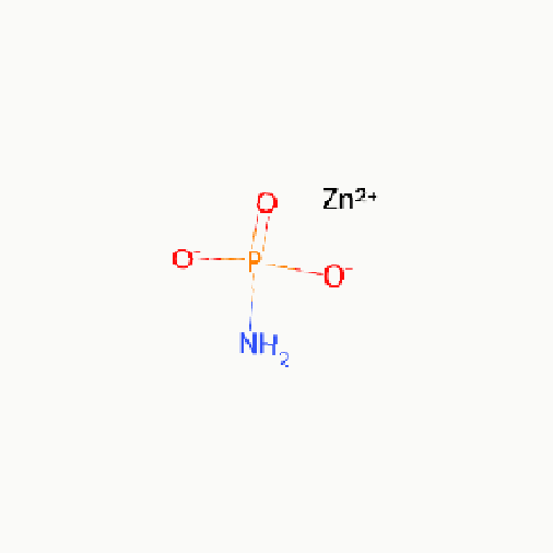 NP(=O)([O-])[O-].[Zn+2]